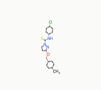 Cc1ccc(COc2ccn(C(=S)Nc3ccc(Cl)cc3)n2)cc1